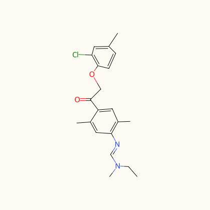 CCN(C)C=Nc1cc(C)c(C(=O)COc2ccc(C)cc2Cl)cc1C